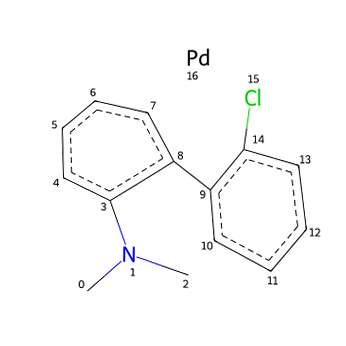 CN(C)c1ccccc1-c1ccccc1Cl.[Pd]